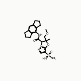 COCC1(C)Oc2c(S(=N)(N)=O)cnn2C1C(=O)Nc1c2c(cc3c1CCC3)CCC2